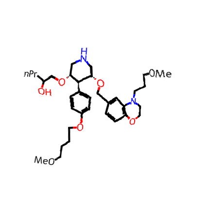 CCCC(O)CO[C@@H]1CNC[C@H](OCc2ccc3c(c2)N(CCCOC)CCO3)[C@H]1c1ccc(OCCCCOC)cc1